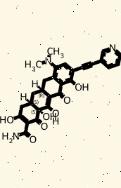 CN(C)c1cc(C#Cc2cccnc2)c(O)c2c1C[C@H]1C[C@H]3CC(O)=C(C(N)=O)C(=O)[C@@]3(O)C(O)=C1C2=O